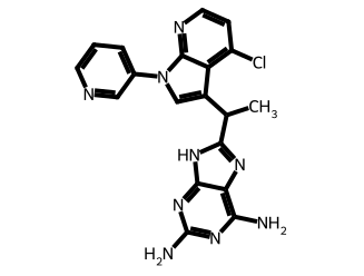 CC(c1nc2c(N)nc(N)nc2[nH]1)c1cn(-c2cccnc2)c2nccc(Cl)c12